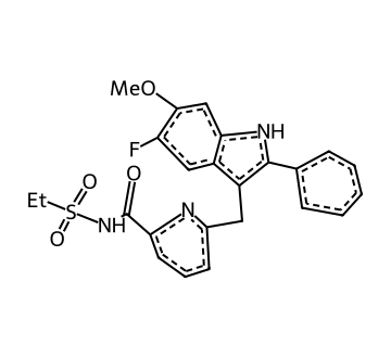 CCS(=O)(=O)NC(=O)c1cccc(Cc2c(-c3ccccc3)[nH]c3cc(OC)c(F)cc23)n1